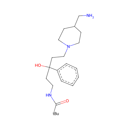 CC(C)(C)C(=O)NCCC(O)(CCN1CCC(CN)CC1)c1ccccc1